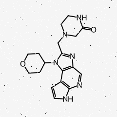 O=C1CN(Cc2nc3cnc4[nH]ccc4c3n2C2CCOCC2)CCN1